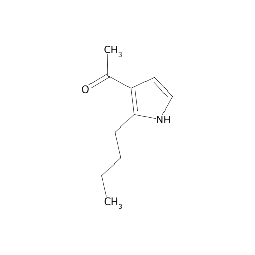 CCCCc1[nH]ccc1C(C)=O